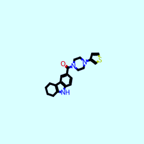 O=C(c1ccc2[nH]c3c(c2c1)CCCC3)N1CCN(c2ccsc2)CC1